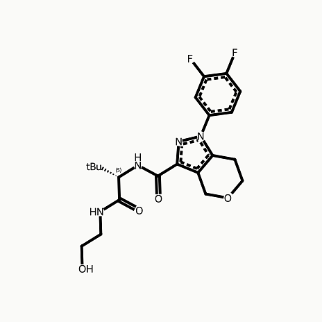 CC(C)(C)[C@H](NC(=O)c1nn(-c2ccc(F)c(F)c2)c2c1COCC2)C(=O)NCCO